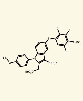 CCOC(=O)Cc1c(C(=O)OCC)c2cc(Oc3cc(F)c(OC)c(F)c3F)ccc2n1-c1ccc(OC(C)C)cc1